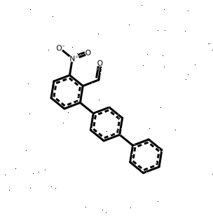 O=Cc1c(-c2ccc(-c3ccccc3)cc2)cccc1[N+](=O)[O-]